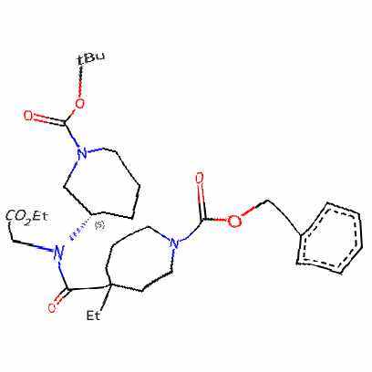 CCOC(=O)CN(C(=O)C1(CC)CCN(C(=O)OCc2ccccc2)CC1)[C@H]1CCCN(C(=O)OC(C)(C)C)C1